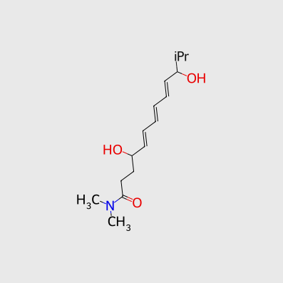 CC(C)C(O)C=CC=CC=CC(O)CCC(=O)N(C)C